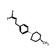 C[C@H]1CC[C@H](c2ccc(CC=C(F)F)cc2)CC1